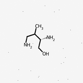 CC(CN)[C@H](N)CO